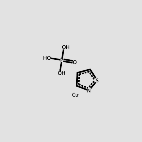 O=P(O)(O)O.[Cu].c1cnsc1